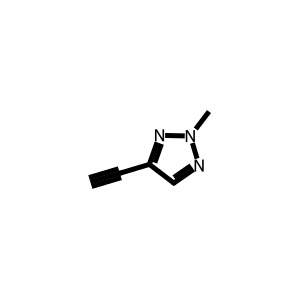 C#Cc1cnn(C)n1